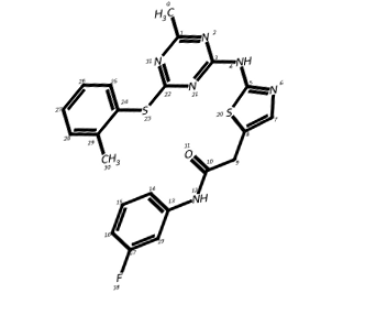 Cc1nc(Nc2ncc(CC(=O)Nc3cccc(F)c3)s2)nc(Sc2ccccc2C)n1